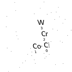 [C].[Co].[Cr].[W]